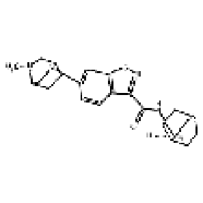 CN1CC2CCC1CN2c1ccc2c(C(=O)N[C@H]3CN4CCC3CC4)nsc2c1